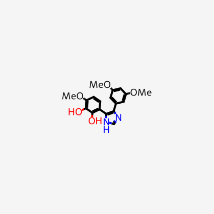 COc1cc(OC)cc(-c2nc[nH]c2-c2ccc(OC)c(O)c2O)c1